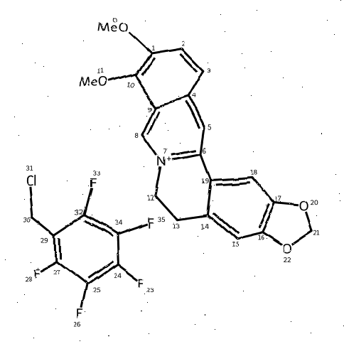 COc1ccc2cc3[n+](cc2c1OC)CCc1cc2c(cc1-3)OCO2.Fc1c(F)c(F)c(CCl)c(F)c1F